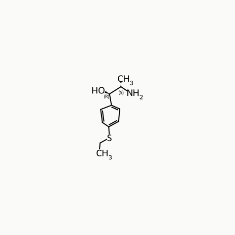 CCSc1ccc([C@@H](O)[C@H](C)N)cc1